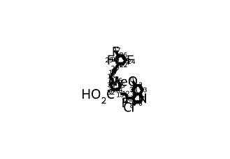 COc1ccc2ncc(Cl)c([C@@H](F)CC[C@H]3CCN(CC#Cc4cc(F)cc(F)c4F)C[C@H]3C(=O)O)c2c1